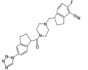 N#Cc1c(F)ccc2c1CCC2CN1CCN(C(=O)C2CCc3cc(-n4cnnn4)ccc32)CC1